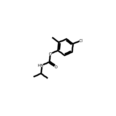 Cc1cc(Cl)ccc1OC(=O)NC(C)C